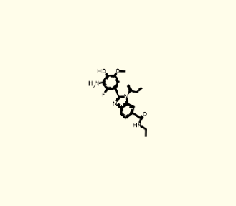 C=C(CC)n1c(-c2cc(OC)c(O)c(N)c2F)nc2ccc(C(=O)NCC)cc21